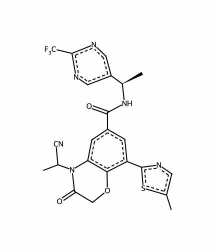 Cc1cnc(-c2cc(C(=O)N[C@H](C)c3cnc(C(F)(F)F)nc3)cc3c2OCC(=O)N3C(C)C#N)s1